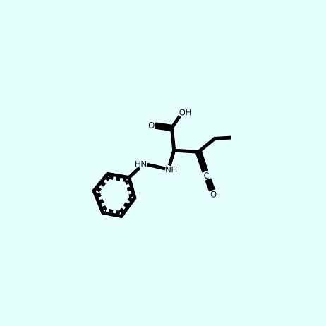 CCC(=C=O)C(NNc1ccccc1)C(=O)O